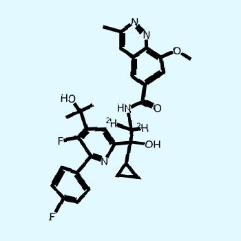 [2H]C([2H])(NC(=O)c1cc(OC)c2nnc(C)cc2c1)C(O)(c1cc(C(C)(C)O)c(F)c(-c2ccc(F)cc2)n1)C1CC1